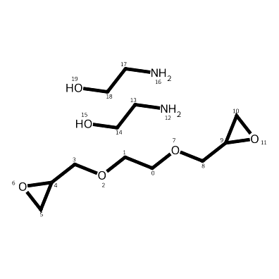 C(COCC1CO1)OCC1CO1.NCCO.NCCO